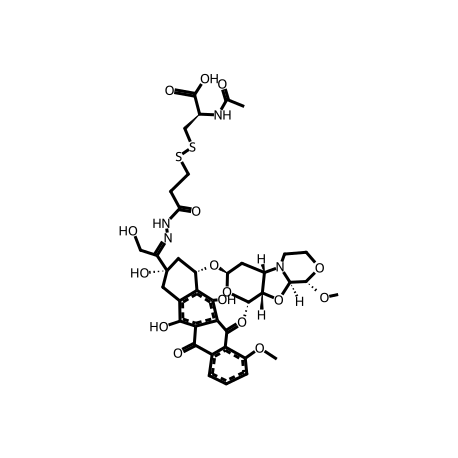 COc1cccc2c1C(=O)c1c(O)c3c(c(O)c1C2=O)C[C@@](O)(C(CO)=NNC(=O)CCSSC[C@H](NC(C)=O)C(=O)O)C[C@@H]3O[C@H]1C[C@H]2[C@H](O[C@@H]3[C@@H](OC)OCCN32)[C@H](C)O1